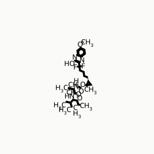 CCC(CC)[C@H](NC(=O)C(NC(=O)OC1(C)C[C@H]1CCCCC(F)(F)c1nc2ccc(OC)cc2nc1O)C(C)(C)C)C(=O)C(C)C